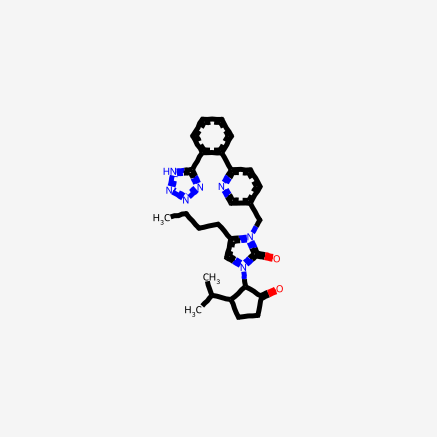 CCCCc1cn(C2C(=O)CCC2C(C)C)c(=O)n1Cc1ccc(-c2ccccc2-c2nnn[nH]2)nc1